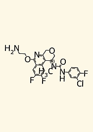 CN(C(=O)Nc1ccc(F)c(Cl)c1)[C@H]1COCc2nc(OCCN)c3cc(F)c(F)cc3c21